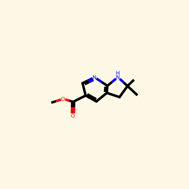 COC(=O)c1cnc2c(c1)CC(C)(C)N2